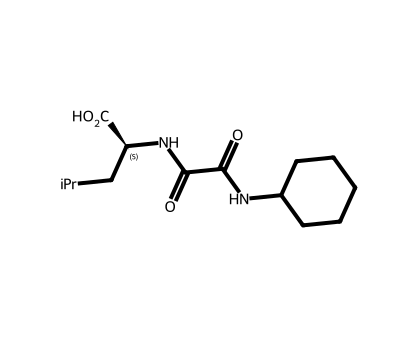 CC(C)C[C@H](NC(=O)C(=O)NC1CCCCC1)C(=O)O